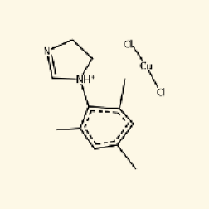 Cc1cc(C)c([NH+]2C=NCC2)c(C)c1.[Cl][Cu][Cl]